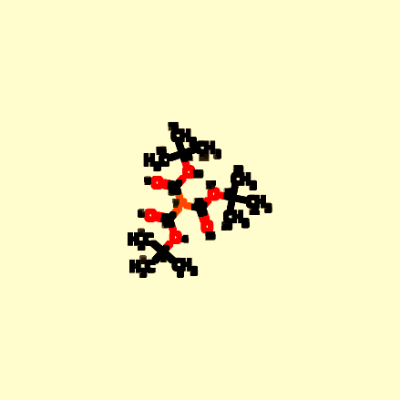 CC(C)(C)OC(=O)P(C(=O)OC(C)(C)C)C(=O)OC(C)(C)C